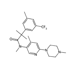 Cc1cc(C(F)(F)F)cc(C(C)(C)C(=O)N(C)c2cnc(N3CCN(C)CC3)cc2C)c1